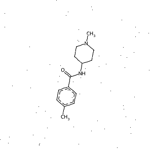 Cc1ccc(C(=O)NC2CCN(C)CC2)cc1